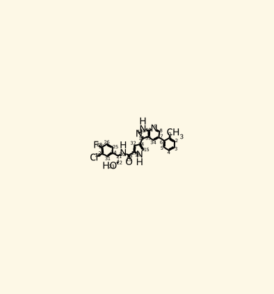 Cc1ccccc1-c1cnc2[nH]nc(-c3c[nH]c(C(=O)N[C@H](CO)c4ccc(F)c(Cl)c4)c3)c2c1